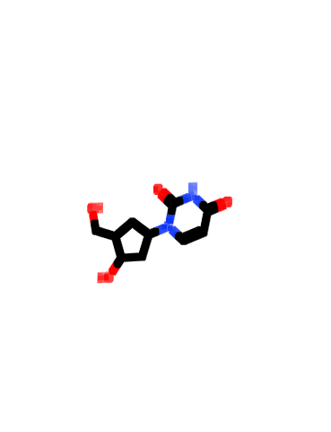 O=c1ccn(C2CC(O)C(CO)C2)c(=O)[nH]1